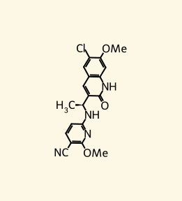 COc1cc2[nH]c(=O)c([C@H](C)Nc3ccc(C#N)c(OC)n3)cc2cc1Cl